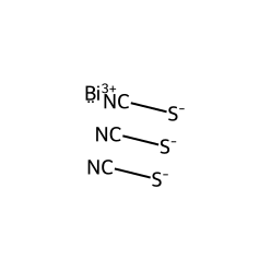 N#C[S-].N#C[S-].N#C[S-].[Bi+3]